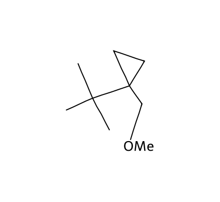 COCC1(C(C)(C)C)CC1